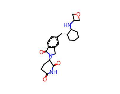 O=C1CCC(N2Cc3cc(C[C@H]4CCCCC4NC4COC4)ccc3C2=O)C(=O)N1